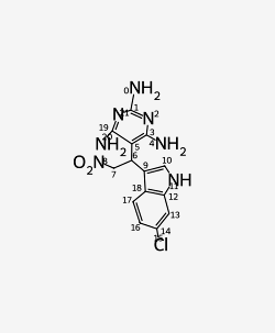 Nc1nc(N)c(C(C[N+](=O)[O-])c2c[nH]c3cc(Cl)ccc23)c(N)n1